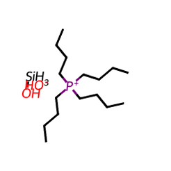 CCCC[P+](CCCC)(CCCC)CCCC.O[SiH3].[OH-]